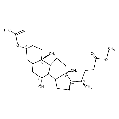 COC(=O)CC[C@@H](C)[C@H]1CCC2C3C(CC[C@@]21C)[C@@]1(C)CC[C@@H](OC(C)=O)CC1C[C@H]3O